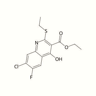 CCOC(=O)c1c(SCC)nc2cc(Cl)c(F)cc2c1O